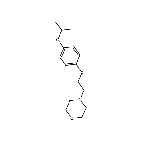 CC(C)Oc1ccc(OCCN2CCOCC2)cc1